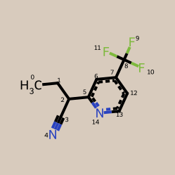 CCC(C#N)c1cc(C(F)(F)F)ccn1